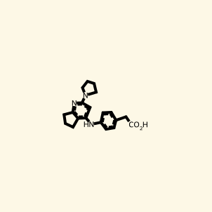 O=C(O)Cc1ccc(Nc2cc(N3CCCC3)nc3c2CCC3)cc1